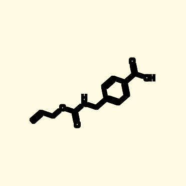 C=CCOC(=O)NCc1ccc(C(=O)O)cc1